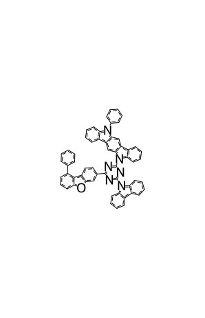 c1ccc(-c2cccc3oc4cc(-c5nc(-n6c7ccccc7c7ccccc76)nc(-n6c7ccccc7c7cc8c(cc76)c6ccccc6n8-c6ccccc6)n5)ccc4c23)cc1